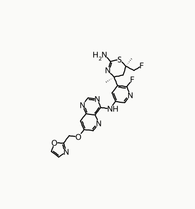 C[C@]1(CF)C[C@@](C)(c2cc(Nc3ncnc4cc(OCc5ncco5)cnc34)cnc2F)N=C(N)S1